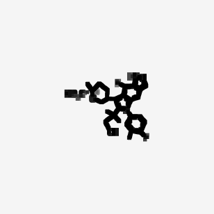 Cc1cc(-n2c(C(C)(C)CC#N)c(C3CC[C@@](C)(C(=O)O)OC3)c3c(F)c4[nH]ncc4cc32)ccc1F